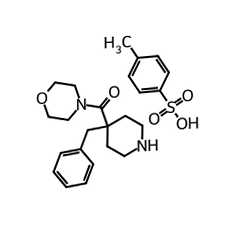 Cc1ccc(S(=O)(=O)O)cc1.O=C(N1CCOCC1)C1(Cc2ccccc2)CCNCC1